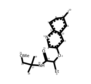 CCC(Oc1cnc2ccc(I)cc2c1)C(=O)NC(C)(C)COC